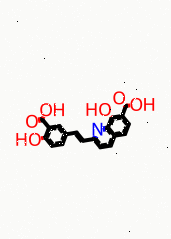 O=C(O)c1cc(C=Cc2ccc3ccc(C(=O)O)c(O)c3n2)ccc1O